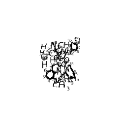 CN(C)c1cccc2c1N(Cc1ccccn1)C(=O)C(NC(=O)[C@@H](Cc1ccc(Cl)cc1)NC(=O)C(C)(C)N)C2.Cl